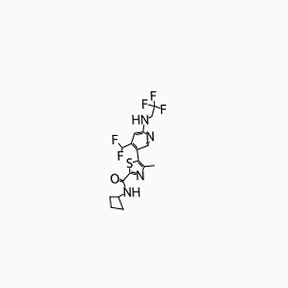 Cc1nc(C(=O)NC2CCC2)sc1-c1cnc(NCC(F)(F)F)cc1C(F)F